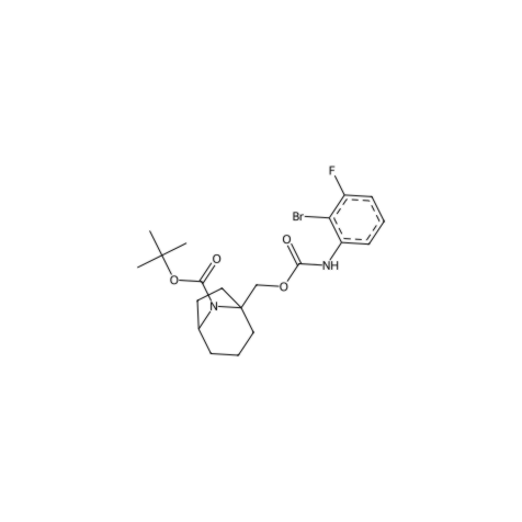 CC(C)(C)OC(=O)N1C2CCCC1(COC(=O)Nc1cccc(F)c1Br)CC2